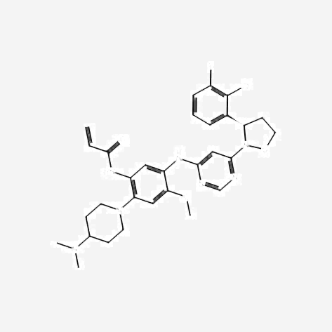 C=CC(=O)Nc1cc(Nc2cc(N3OCC[C@@H]3c3cccc(F)c3Cl)ncn2)c(OC)cc1N1CCC(N(C)C)CC1